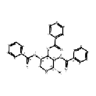 O=C(O[C@@H]1[C@H](OC(=O)c2ccccc2)[C@H](OC(=O)c2ccccc2)CO[C@H]1Br)c1ccccc1